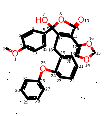 COc1ccc(C2(O)OC(=O)C(C3=COCO3)=C2Cc2ccccc2Oc2ccccc2)cc1